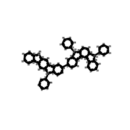 c1ccc(-n2c3ccc(-c4ccc5c6c7c8ccccc8n(-c8ccccc8)c7ccc6n(-c6ccccc6)c5c4)cc3c3cc4oc5ccccc5c4cc32)cc1